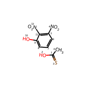 CC(O)=S.O=[N+]([O-])c1cccc(O)c1[N+](=O)[O-]